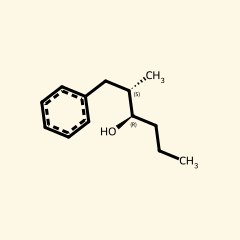 CCC[C@@H](O)[C@@H](C)Cc1ccccc1